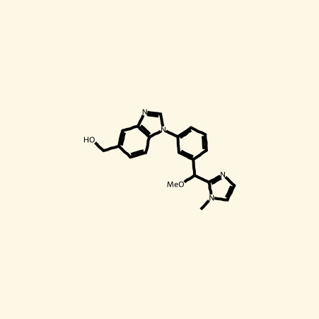 COC(c1cccc(-n2cnc3cc(CO)ccc32)c1)c1nccn1C